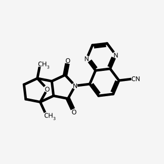 CC12CCC(C)(O1)C1C(=O)N(c3ccc(C#N)c4nccnc34)C(=O)C12